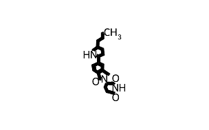 CCCCC1CCC(c2ccc3c(c2)CN(C2CCC(=O)NC2=O)C3=O)NC1